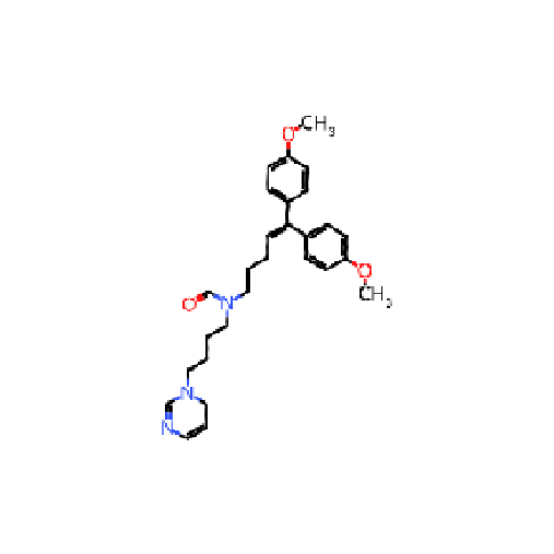 COc1ccc(C(=CCCCN(C=O)CCCCN2C=NC=CC2)c2ccc(OC)cc2)cc1